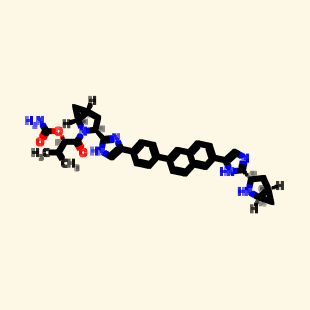 CC(C)[C@H](OC(N)=O)C(=O)N1[C@@H]2C[C@@H]2C[C@H]1c1nc(-c2ccc(-c3ccc4cc(-c5cnc([C@@H]6C[C@H]7C[C@H]7N6)[nH]5)ccc4c3)cc2)c[nH]1